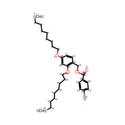 CCCCCCCCCCCCCCCCCCOc1ccc(COC(=O)c2ccc(Br)cc2)c(OCCCCCCCCCCCCCCCCCC)c1